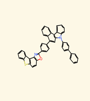 c1ccc(-c2ccc(-n3c4ccccc4c4c5ccccc5c(-c5ccc(-c6nc7c(ccc8sc9ccccc9c87)o6)cc5)cc43)cc2)cc1